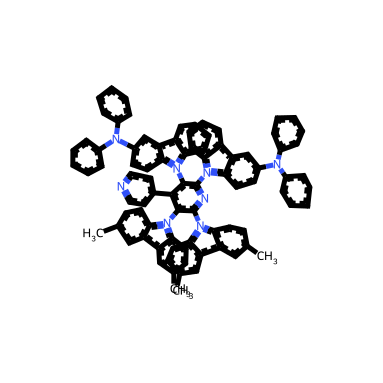 Cc1ccc2c(c1)c1cc(C)ccc1n2-c1nc(-n2c3ccccc3c3cc(N(c4ccccc4)c4ccccc4)ccc32)c(-n2c3ccccc3c3cc(N(c4ccccc4)c4ccccc4)ccc32)c(-c2ccncc2)c1-n1c2ccc(C)cc2c2cc(C)ccc21